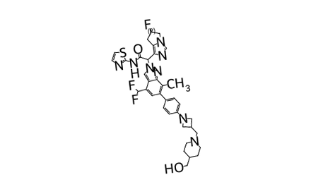 Cc1c(-c2ccc(N3CC(CN4CCC(CO)CC4)C3)cc2)cc(C(F)F)c2cn(C(C(=O)Nc3nccs3)c3ncn4c3C[C@@H](F)C4)nc12